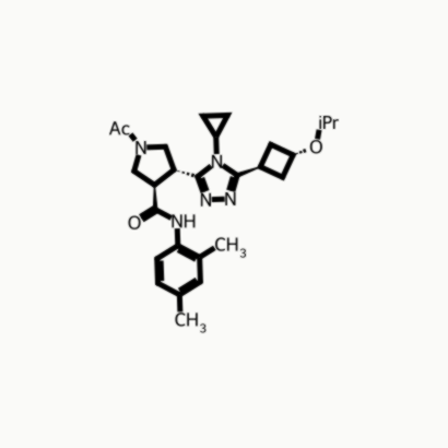 CC(=O)N1C[C@H](C(=O)Nc2ccc(C)cc2C)[C@@H](c2nnc([C@H]3C[C@H](OC(C)C)C3)n2C2CC2)C1